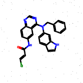 O=C(/C=C/Cl)Nc1ccc2ncnc(N(Cc3ccccc3)c3ccc4cc[nH]c4c3)c2c1